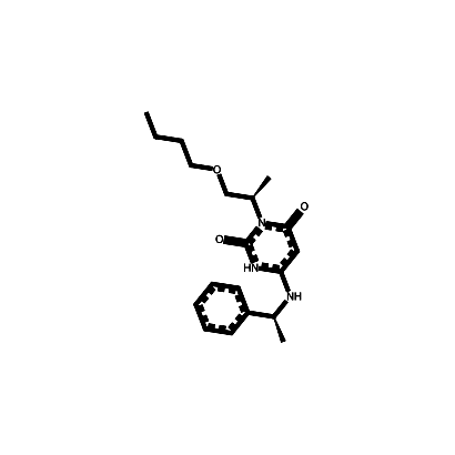 CCCCOC[C@@H](C)n1c(=O)cc(N[C@@H](C)c2ccccc2)[nH]c1=O